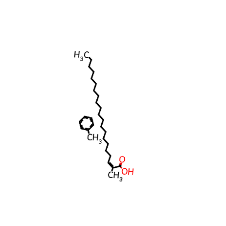 CCCCCCCCCCCCCCCCCCC=C(C)C(=O)O.Cc1ccccc1